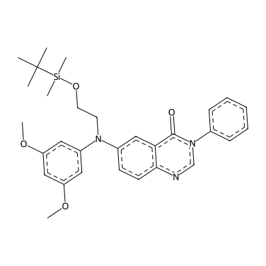 COc1cc(OC)cc(N(CCO[Si](C)(C)C(C)(C)C)c2ccc3ncn(-c4ccccc4)c(=O)c3c2)c1